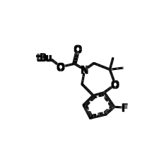 CC(C)(C)OC(=O)N1Cc2cccc(F)c2OC(C)(C)C1